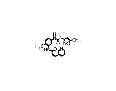 Cc1cc(NC(=O)Nc2ccc(C)c(NC(=O)/C=C\c3cccnc3)c2)no1